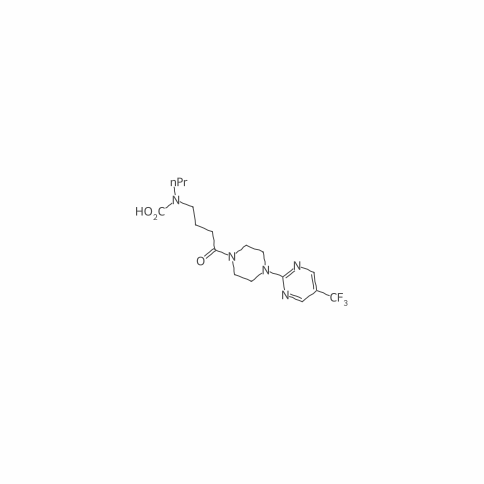 CCCN(CCCC(=O)N1CCN(c2ncc(C(F)(F)F)cn2)CC1)C(=O)O